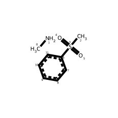 CN.CS(=O)(=O)c1ccccc1